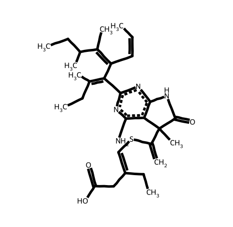 C=C(S/C=C(\CC)CC(=O)O)C1(C)C(=O)Nc2nc(C(=C(/C)CC)/C(/C=C\C)=C(/C)C(C)CC)nc(N)c21